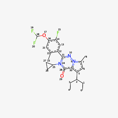 CCC(CC)c1cc(C)n2nc(-c3cc(F)c(OC(F)F)cc3C)n(C3CC3)c(=O)c12